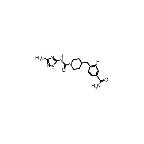 Cc1nsc(NC(=O)N2CCC(Cc3ccc(C(N)=O)cc3F)CC2)n1